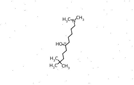 CN(C)CCCCC[C@H](O)CCCC(C)(C)C